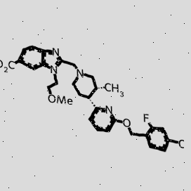 COCCn1c(CN2CC[C@@H](c3cccc(OCc4ccc(Cl)cc4F)n3)[C@@H](C)C2)nc2ccc(C(=O)O)cc21